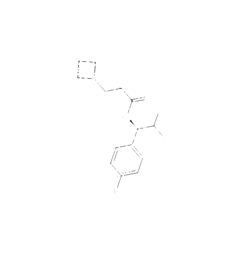 CC[C@@H](CN1CCC1)C(=O)N[C@H](c1ccc(F)cc1)C(F)F